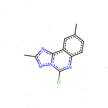 Cc1ccc2nc(Cl)n3nc(C)nc3c2c1